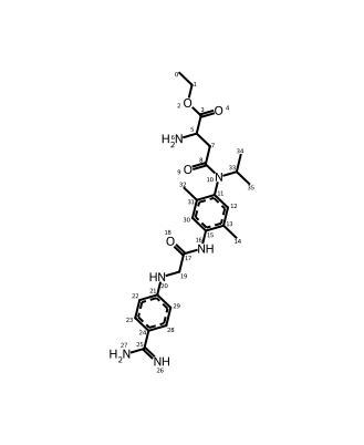 CCOC(=O)C(N)CC(=O)N(c1cc(C)c(NC(=O)CNc2ccc(C(=N)N)cc2)cc1C)C(C)C